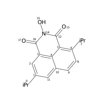 CC(C)c1cc2c3c(c(C(C)C)ccc3c1)C(=O)N(O)C2=O